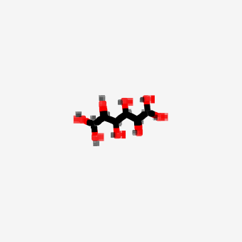 O=C(B(O)O)C(O)C(O)C(=O)B(O)O